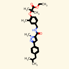 CCOC(=O)C(C)(C)Oc1ccc(CNC(=O)c2cc(-c3ccc(CC(C)C)cc3)nn2C)cc1C